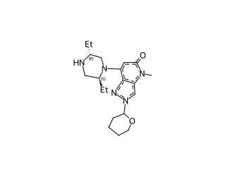 CC[C@@H]1CN(c2cc(=O)n(C)c3cn(C4CCCCO4)nc23)[C@@H](CC)CN1